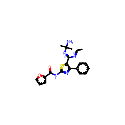 C/C=N/C(=N\C(C)(C)N)c1sc(NC(=O)c2ccco2)nc1-c1ccccc1